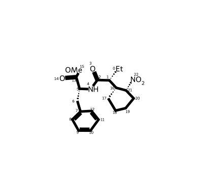 CC[C@@H](C(=O)N[C@H](Cc1ccccc1)C(=O)OC)[C@H]1CCCC[C@H]1[N+](=O)[O-]